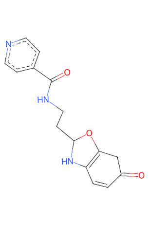 O=C1C=CC2=C(C1)OC(CCNC(=O)c1ccncc1)N2